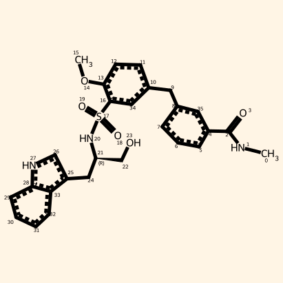 CNC(=O)c1cccc(Cc2ccc(OC)c(S(=O)(=O)N[C@@H](CO)Cc3c[nH]c4ccccc34)c2)c1